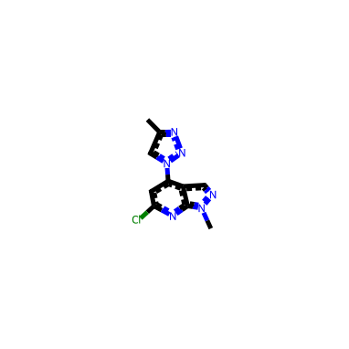 Cc1cn(-c2cc(Cl)nc3c2cnn3C)nn1